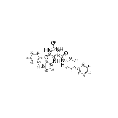 O=C(N[C@H]1CC[C@@H](c2ccccc2)CC1)c1[nH]c(=O)[nH]c(=O)c1NC1CCN(Cc2ccccc2)C1